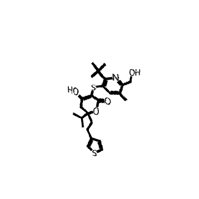 Cc1cc(SC2=C(O)CC(CCc3ccsc3)(C(C)C)OC2=O)c(C(C)(C)C)nc1CO